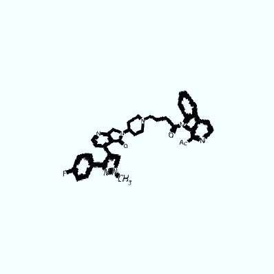 CC(=O)c1nccc2c3ccccc3n(C(=O)CCCN3CCC(N4Cc5nccc(-c6cn(C)nc6-c6ccc(F)cc6)c5C4=O)CC3)c12